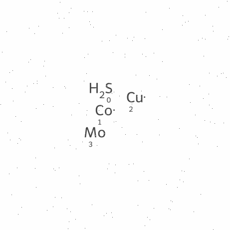 S.[Co].[Cu].[Mo]